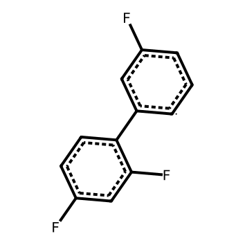 Fc1cc[c]c(-c2ccc(F)cc2F)c1